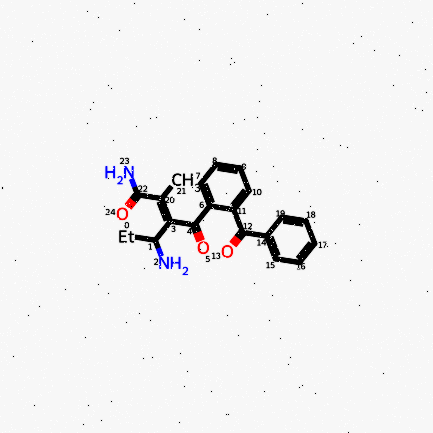 CCC(N)C(C(=O)c1ccccc1C(=O)c1ccccc1)=C(C)C(N)=O